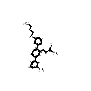 CCCCOc1cccc(-c2ccc(-c3cccc(C)c3)cc2/C=C/C(N)=O)c1